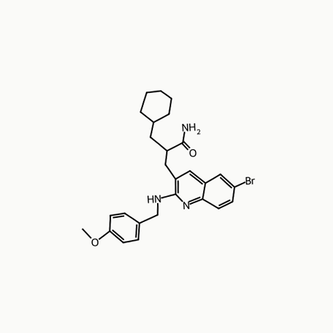 COc1ccc(CNc2nc3ccc(Br)cc3cc2CC(CC2CCCCC2)C(N)=O)cc1